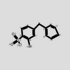 O=S(=O)(Cl)c1ccc(Cc2ccccc2)cc1Br